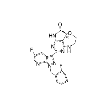 C[C@@]12OCCNc3nc(-c4nn(Cc5ccccc5F)c5ncc(F)cc45)nc(c31)NC2=O